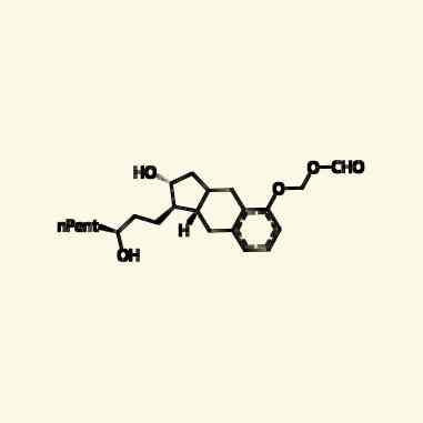 CCCCC[C@H](O)CC[C@H]1[C@H](O)CC2Cc3c(cccc3OCOC=O)C[C@@H]21